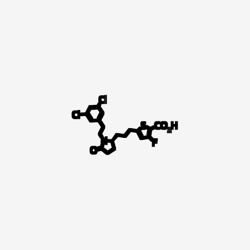 O=C(O)c1sc(CCC[C@H]2CCC(=O)N2CCc2cc(Cl)cc(Cl)c2)cc1F